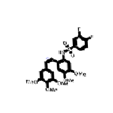 COc1cc(/C=C\c2cc(OC)c(OC)c(OC)c2)c(NS(=O)(=O)c2ccc(F)c(F)c2)cc1OC